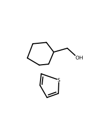 OCC1CCCCC1.c1ccsc1